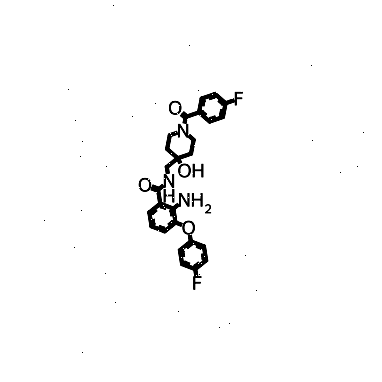 Nc1c(Oc2ccc(F)cc2)cccc1C(=O)NCC1(O)CCN(C(=O)c2ccc(F)cc2)CC1